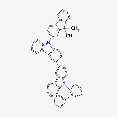 CC1(C)c2ccccc2C2=CC=C(n3c4ccccc4c4cc(-c5ccc6c(c5)c5ccccc5n6-c5ccccc5C5=CCCC=C5)ccc43)CC21